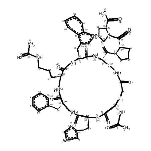 CC(=O)N[C@H]1CCC(=O)NC[C@@H](C(=O)N2CCC[C@H]2C(=O)N2CCC[C@H]2C(C)=O)NC(=O)[C@H](Cc2c[nH]c3ccccc23)NC(=O)[C@H](CCCNC(=N)N)NC(=O)[C@@H](Cc2ccccc2)NC(=O)[C@H](Cc2c[nH]cn2)NC1=O